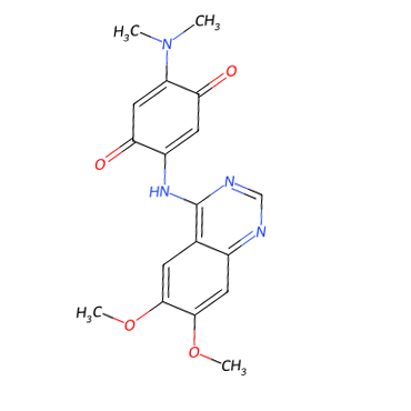 COc1cc2ncnc(NC3=CC(=O)C(N(C)C)=CC3=O)c2cc1OC